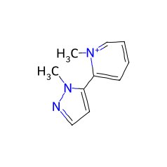 Cn1nccc1-c1cccc[n+]1C